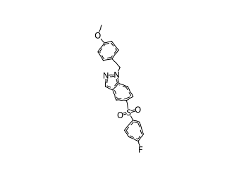 COc1ccc(Cn2ncc3cc(S(=O)(=O)c4ccc(F)cc4)ccc32)cc1